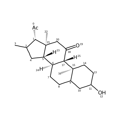 CC(=O)[C@H]1C(C)C[C@H]2[C@@H]3CCC4CC(O)CC[C@]4(C)[C@H]3C(=O)C[C@]12C